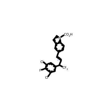 O=C(O)n1ccc2cc(/C=C/C(c3cc(Cl)c(F)c(Cl)c3)C(F)(F)F)ccc21